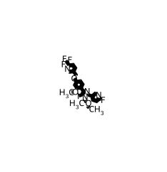 CCOC(C)n1c(-c2ccc(F)nc2)nc(-c2ccc(OCc3ccc(C(F)(F)F)nc3)cc2OC)c1I